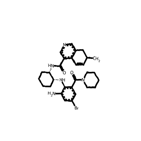 CC1C=Cc2c(cncc2C(=O)N[C@H]2CCCC[C@H]2Nc2c(N)cc(Br)cc2C(=O)N2CCCCC2)C1